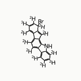 [2H]C1=C2C(=C([2H])c3c2c([2H])c([2H])c2c3[nH]c3c([2H])c([2H])c([2H])c([2H])c32)C([2H])(Br)C([2H])=C1[2H]